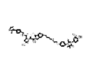 Cc1ncsc1-c1ccc(CNC(=O)[C@@H]2C[C@@H](O)CN2C(=O)[C@H](C(C)C)N2Cc3cc(CCCCOCCOc4ccc(N5C(=S)N(c6ccc(C#N)c(C(F)(F)F)c6)C(=O)C5(C)C)cc4)ccc3C2=O)cc1